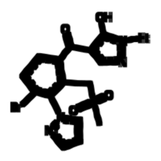 CCn1ncc(C(=O)c2ccc(Br)c(-n3cccn3)c2CS(C)(=O)=O)c1O